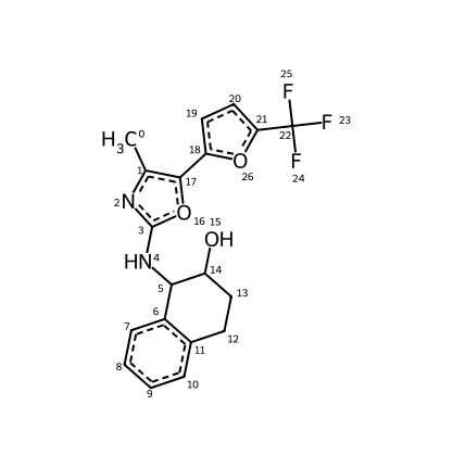 Cc1nc(NC2c3ccccc3CCC2O)oc1-c1ccc(C(F)(F)F)o1